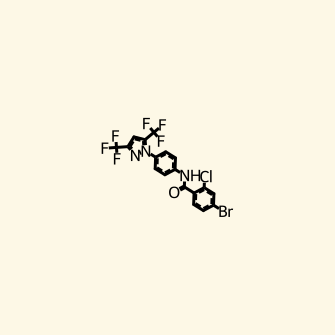 O=C(Nc1ccc(-n2nc(C(F)(F)F)cc2C(F)(F)F)cc1)c1ccc(Br)cc1Cl